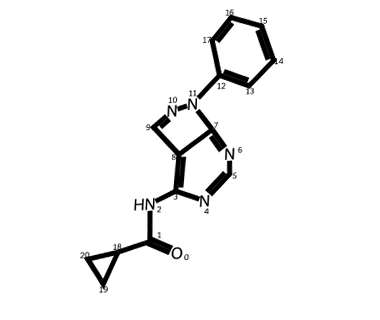 O=C(Nc1ncnc2c1cnn2-c1ccccc1)C1CC1